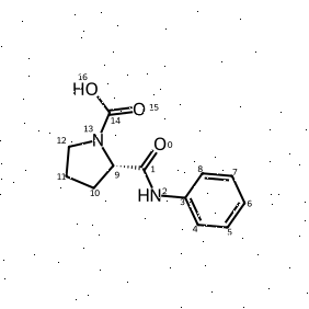 O=C(Nc1ccccc1)[C@@H]1CCCN1C(=O)O